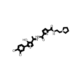 C/C(=N\NC(=O)c1ccc(C(=O)NCCN2CCCC2)s1)c1csc(-c2ccc(Cl)c(Cl)c2)c1O